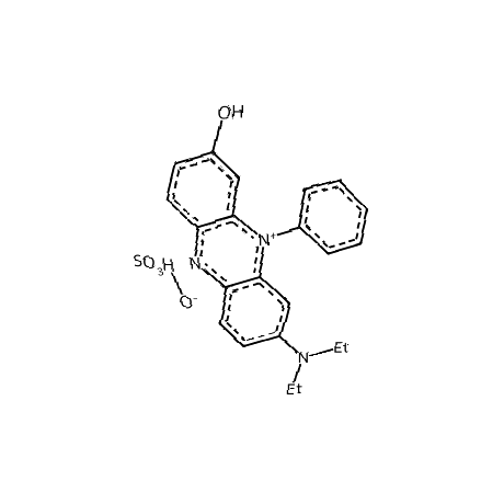 CCN(CC)c1ccc2nc3ccc(O)cc3[n+](-c3ccccc3)c2c1.O=S(=O)([O-])O